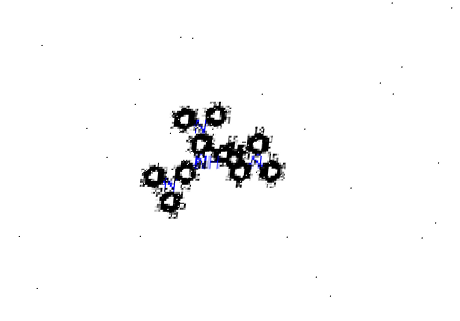 CC1(C)c2c(cccc2N(c2ccccc2)c2ccccc2)C2=CC(c3cc(N(c4ccccc4)c4ccccc4)ccc3Nc3ccc(N(c4ccccc4)c4ccccc4)cc3)=C3C[C@@]231